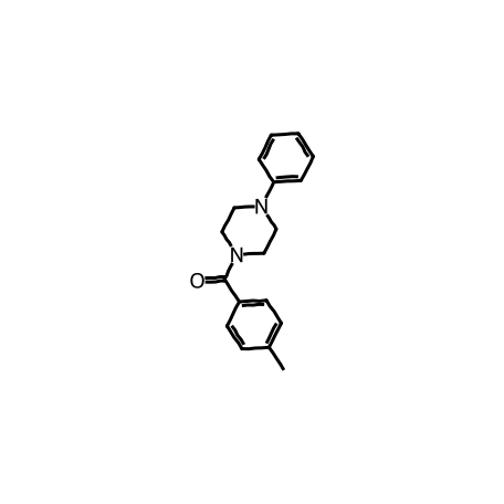 Cc1ccc(C(=O)N2CCN(c3ccccc3)CC2)cc1